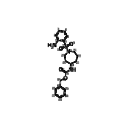 Nc1ccccc1S(=O)(=O)N1CCCC(NC(=O)OCc2ccccc2)CC1